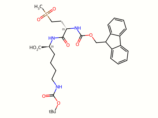 CC(C)(C)OC(=O)NCCCC[C@H](NC(=O)[C@H](CCS(C)(=O)=O)NC(=O)OCC1c2ccccc2-c2ccccc21)C(=O)O